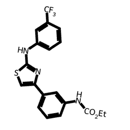 CCOC(=O)Nc1cccc(-c2csc(Nc3cccc(C(F)(F)F)c3)n2)c1